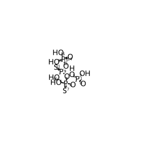 O=P(O)(O)OP(O)(=S)OP(O)(=S)OP(=O)(O)O